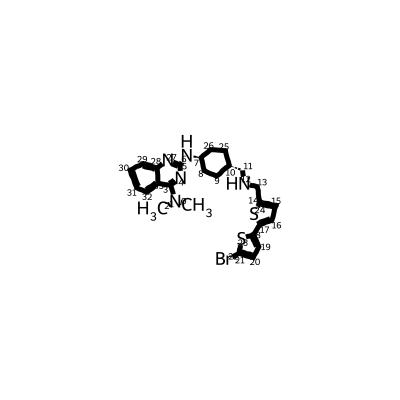 CN(C)c1nc(N[C@H]2CC[C@@H](CNCc3ccc(-c4ccc(Br)s4)s3)CC2)nc2ccccc12